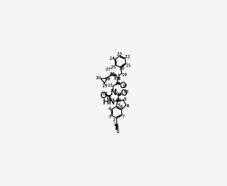 C#Cc1ccc2c(c1)CC[C@]21NC(=O)N(CC(=O)N(Cc2ccccc2)[C@@H](C)C2CC2)C1=O